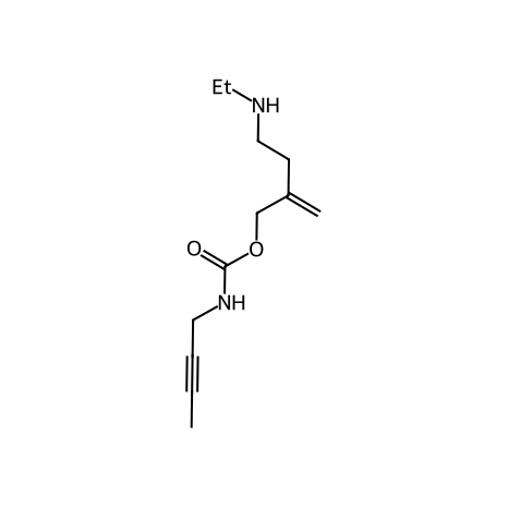 C=C(CCNCC)COC(=O)NCC#CC